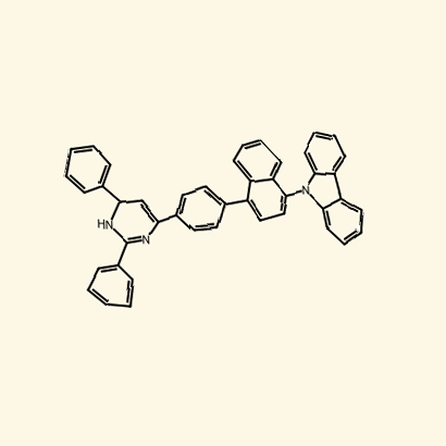 C1=C(c2ccc(-c3ccc(-n4c5ccccc5c5ccccc54)c4ccccc34)cc2)N=C(c2ccccc2)NC1c1ccccc1